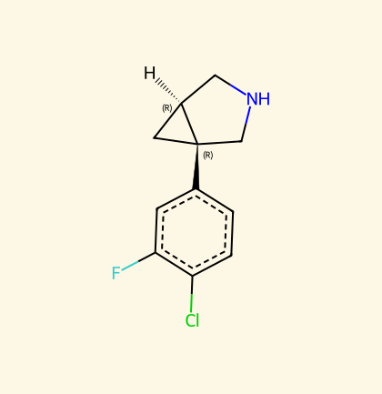 Fc1cc([C@]23CNC[C@@H]2C3)ccc1Cl